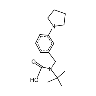 CC(C)(C)N(Cc1cccc(N2CCCC2)c1)C(=O)O